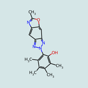 Cc1nc2cc3nn(-c4c(C)c(C)c(C)c(C)c4O)nc3cc2o1